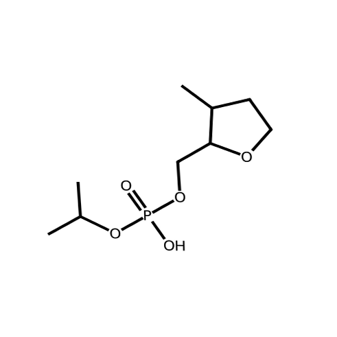 CC(C)OP(=O)(O)OCC1OCCC1C